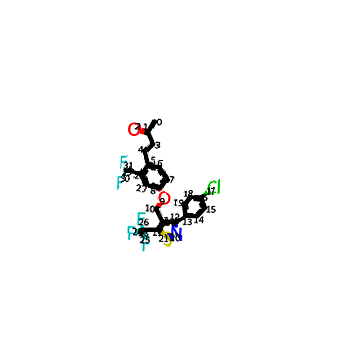 CC(=O)CCc1ccc(OCc2c(-c3ccc(Cl)cc3)nsc2C(F)(F)F)cc1C(F)F